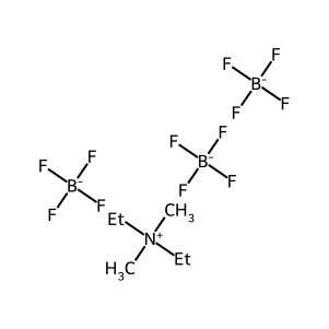 CC[N+](C)(C)CC.F[B-](F)(F)F.F[B-](F)(F)F.F[B-](F)(F)F